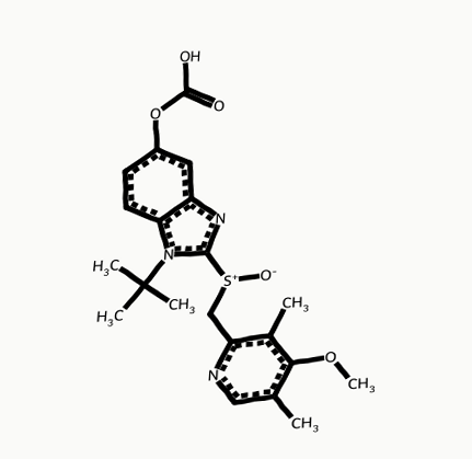 COc1c(C)cnc(C[S+]([O-])c2nc3cc(OC(=O)O)ccc3n2C(C)(C)C)c1C